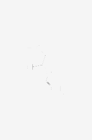 C=COC(Cl)CC